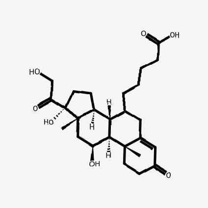 C[C@]12CCC(=O)C=C1CC(CCCCC(=O)O)[C@@H]1[C@@H]2[C@@H](O)C[C@@]2(C)[C@H]1CC[C@]2(O)C(=O)CO